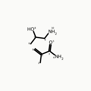 C=C(C)C(N)=O.CC(O)CN